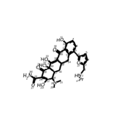 CC(C)NCc1ccc(-c2ccc(O)c3c2CC2CC4C(N(C)C)C(O)=C(C(N)=O)C(=O)C4(O)C(O)=C2C3=O)o1